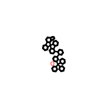 c1ccc(C2(c3ccccc3)c3ccccc3Oc3ccc(-c4ccccc4-c4cccc5c4-c4ccccc4C54c5ccccc5-c5ccc6ccccc6c54)cc32)cc1